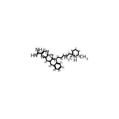 C[C@H]1CCC[C@@](C)(CCCCCN2C(=O)C(Cc3cncc(C(=N)N)n3)Cc3ccccc32)N1